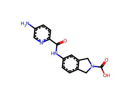 Nc1ccc(C(=O)Nc2ccc3c(c2)CN(C(=O)O)C3)nc1